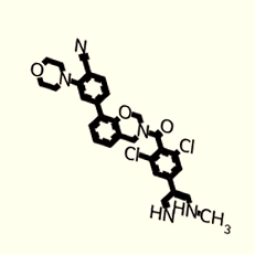 CN/C=C(\C=N)c1cc(Cl)c(C(=O)N2COc3c(cccc3-c3ccc(C#N)c(N4CCOCC4)c3)C2)c(Cl)c1